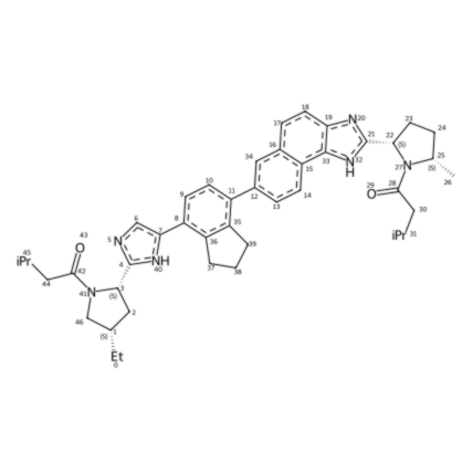 CC[C@H]1C[C@@H](c2ncc(-c3ccc(-c4ccc5c(ccc6nc([C@@H]7CC[C@H](C)N7C(=O)CC(C)C)[nH]c65)c4)c4c3CCC4)[nH]2)N(C(=O)CC(C)C)C1